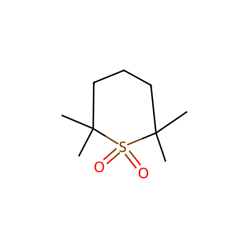 CC1(C)CCCC(C)(C)S1(=O)=O